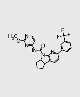 COc1nccc(NC(=O)N2c3nc(-c4cccc(C(F)(F)F)c4)ccc3C3CCCC32)n1